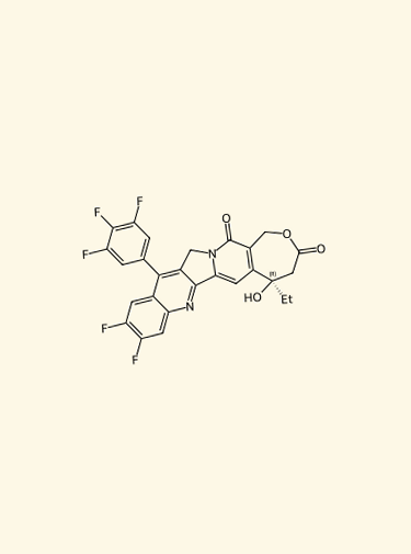 CC[C@@]1(O)CC(=O)OCc2c1cc1n(c2=O)Cc2c-1nc1cc(F)c(F)cc1c2-c1cc(F)c(F)c(F)c1